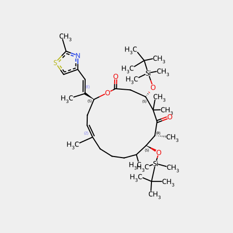 C/C1=C/C[C@@H](/C(C)=C/c2csc(C)n2)OC(=O)C[C@H](O[Si](C)(C)C(C)(C)C)C(C)(C)C(=O)[C@H](C)[C@@H](O[Si](C)(C)C(C)(C)C)C(C)CCC1